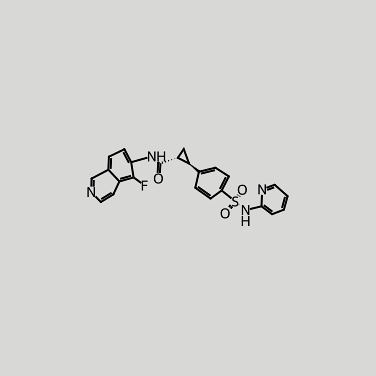 O=C(Nc1ccc2cnccc2c1F)[C@@H]1C[C@H]1c1ccc(S(=O)(=O)Nc2ccccn2)cc1